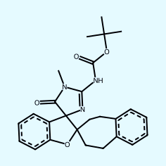 CN1C(=O)C2(N=C1NC(=O)OC(C)(C)C)c1ccccc1OC21CCc2ccccc2CC1